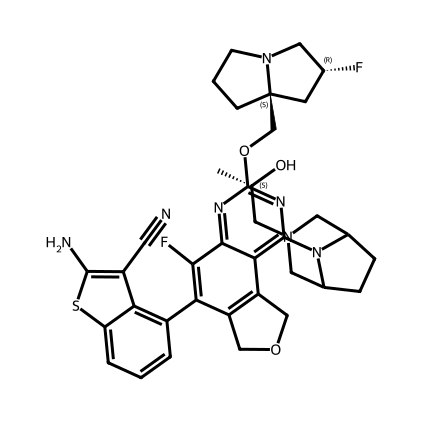 C[C@H](O)CN1CC2CCC(C1)N2c1nc(OC[C@@]23CCCN2C[C@H](F)C3)nc2c(F)c(-c3cccc4sc(N)c(C#N)c34)c3c(c12)COC3